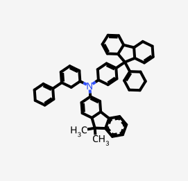 CC1(C)c2ccccc2C2C=C(N(C3C=CC(C4(C5=CCCCC5)C5C=CC=CC5C5CCC=CC54)=CC3)C3C=CC=C(C4=CCCC=C4)C3)C=CC21